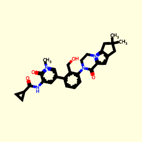 Cn1cc(-c2cccc(N3CCn4c(cc5c4CC(C)(C)C5)C3=O)c2CO)cc(NC(=O)C2CC2)c1=O